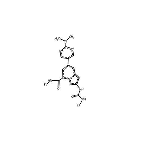 CCNC(=O)Nc1nc2cc(-c3cnc(N(C)C)nc3)cc(C(=O)NCC)n2n1